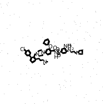 CN(C)CCCc1cccc(-c2ccc(Cl)cc2)c1CN1CCN(c2ccc(C(=O)NS(=O)(=O)c3ccc(NCCCN4CCCC4)c([N+](=O)[O-])c3)c(Oc3ccccc3)c2)CC1